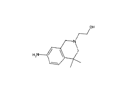 CC1(C)CN(CCO)Cc2cc(N)ccc21